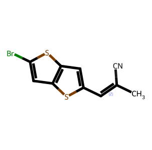 C/C(C#N)=C/c1cc2sc(Br)cc2s1